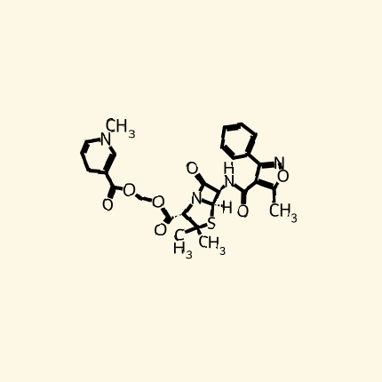 Cc1onc(-c2ccccc2)c1C(=O)N[C@@H]1C(=O)N2[C@@H]1SC(C)(C)[C@@H]2C(=O)OCOC(=O)C1=CN(C)C=CC1